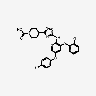 O=C(O)N1CCC(c2nsc(Nc3ncc(Oc4ccc(Br)cc4)cc3Sc3ccccc3Cl)n2)CC1